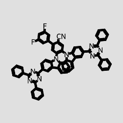 N#Cc1cc(-n2c3ccccc3c3cc(-c4nc(-c5ccccc5)nc(-c5ccccc5)n4)ccc32)c(-n2c3ccccc3c3cc(-c4nc(-c5ccccc5)nc(-c5ccccc5)n4)ccc32)cc1-c1cc(F)cc(F)c1